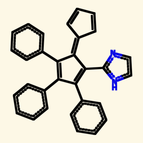 C1=CC(=C2C(c3ccccc3)=C(c3ccccc3)C(c3ccccc3)=C2c2ncc[nH]2)C=C1